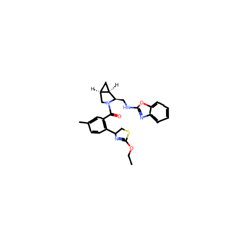 CCOC1=NC(c2ccc(C)cc2C(=O)N2C[C@H]3C[C@H]3[C@H]2CNc2nc3ccccc3o2)CS1